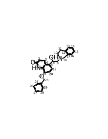 O=c1ccc2c(C(O)CN3CCc4ccccc4C3)ccc(OCc3ccccc3)c2[nH]1